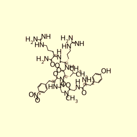 CC(C)C[C@H](NC(=O)[C@H](Cc1ccc([N+](=O)[O-])cc1)NC(=O)CN(C)C(=O)CNC(=O)[C@@H](N)Cc1ccc(O)cc1)C(=O)N[C@@H](CCCNC(=N)N)C(=O)N[C@H](CCCNC(=N)N)C(N)=O